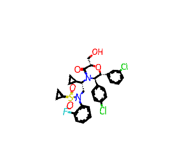 O=C1[C@H](CO)O[C@H](c2cccc(Cl)c2)[C@@H](c2ccc(Cl)cc2)N1[C@H](CN(c1ccccc1F)S(=O)(=O)C1CC1)C1CC1